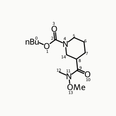 CCCCOC(=O)N1CCCC(C(=O)N(C)OC)C1